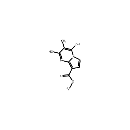 COC(=O)c1cnn2c(O)c(C)c(O)nc12